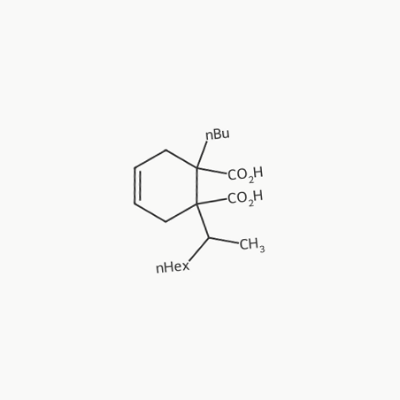 CCCCCCC(C)C1(C(=O)O)CC=CCC1(CCCC)C(=O)O